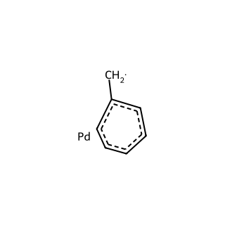 [CH2]c1ccccc1.[Pd]